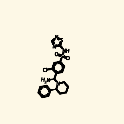 N[C@@H](c1ccc(S(=O)(=O)Nc2ncns2)cc1Cl)N1CCCC[C@H]1c1ccccc1